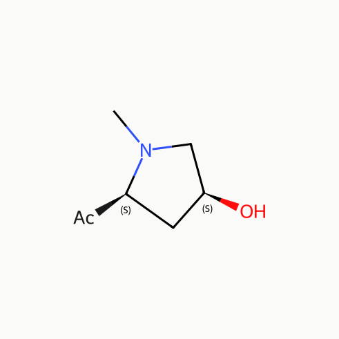 CC(=O)[C@@H]1C[C@H](O)CN1C